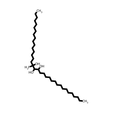 CCCCCCCCCCCCCCCCC(O)C(O)C(O)(P)CCCCCCCCCCCCCCCC